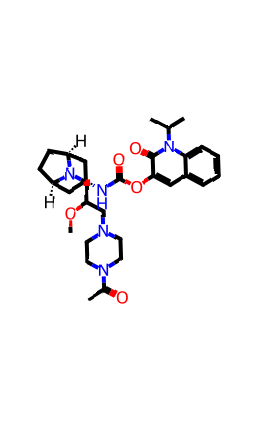 COC(CN1CCN(C(C)=O)CC1)CN1[C@@H]2CC[C@H]1C[C@H](NC(=O)Oc1cc3ccccc3n(C(C)C)c1=O)C2